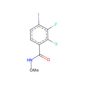 CONC(=O)c1ccc(I)c(F)c1F